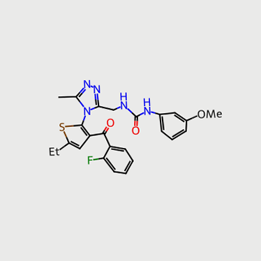 CCc1cc(C(=O)c2ccccc2F)c(-n2c(C)nnc2CNC(=O)Nc2cccc(OC)c2)s1